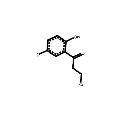 O=C(CCCl)c1cc(F)ccc1O